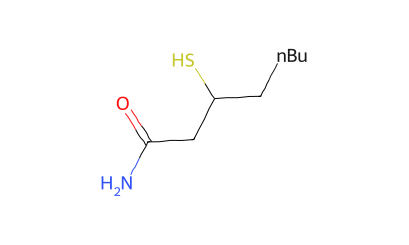 CCCCCC(S)CC(N)=O